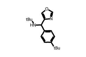 CC(C)(C)NC(c1ccc(C(C)(C)C)cc1)c1cocn1